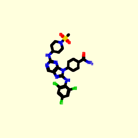 CS(=O)(=O)N1CCC(Nc2ncc3nc(Nc4c(Cl)cc(Cl)cc4Cl)n(C4CCC(C(N)=O)CC4)c3n2)CC1